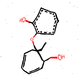 CC1(Oc2ccccc2O)C=CC=CC1O